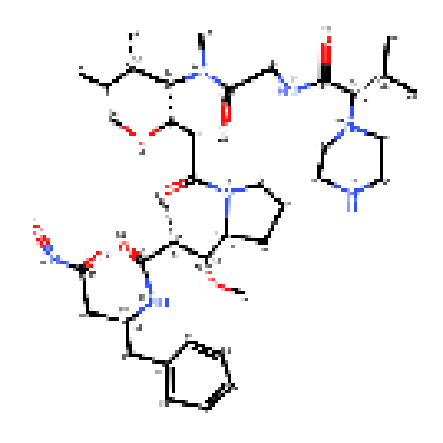 CC[C@H](C)[C@@H](C(CC(=O)N1CCC[C@H]1[C@H](OC)[C@@H](C)C(=O)N[C@H](CC(=O)N=O)Cc1ccccc1)OC)N(C)C(=O)CNC(=O)[C@H](C(C)C)N1CCNCC1